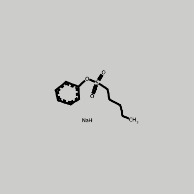 CCCCCS(=O)(=O)Oc1ccccc1.[NaH]